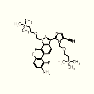 C[Si](C)(C)CCOCn1c(C#N)cnc1-c1nn(COCC[Si](C)(C)C)c2c(F)c(-c3c(F)ccc(N)c3F)ccc12